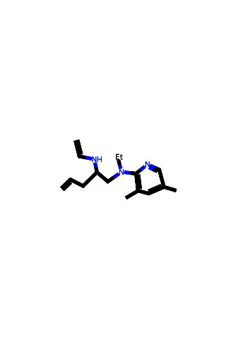 C=CCC(CN(CC)c1ncc(C)cc1C)NC=C